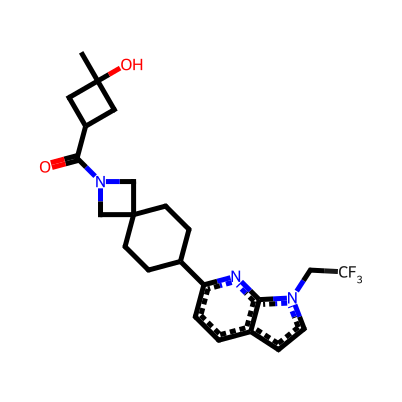 CC1(O)CC(C(=O)N2CC3(CCC(c4ccc5ccn(CC(F)(F)F)c5n4)CC3)C2)C1